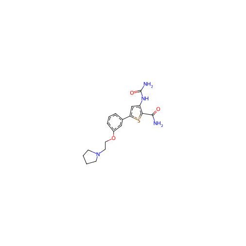 NC(=O)Nc1cc(-c2cccc(OCCN3CCCC3)c2)sc1C(N)=O